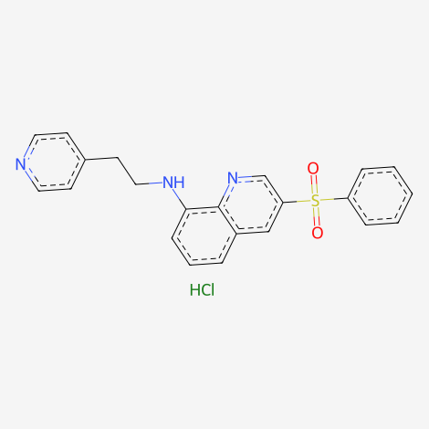 Cl.O=S(=O)(c1ccccc1)c1cnc2c(NCCc3ccncc3)cccc2c1